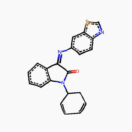 O=C1/C(=N\c2ccc3ncsc3c2)c2ccccc2N1C1C=CC=CC1